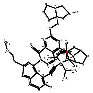 COCOc1cc(-n2ncc3c(N4CC5CCC(C4)N5C(=O)O)nc(OC[C@@]45CCCN4C[C@H](F)C5)nc3c2=O)c2c(C#C[Si](C(C)C)(C(C)C)C(C)C)c(F)ccc2c1